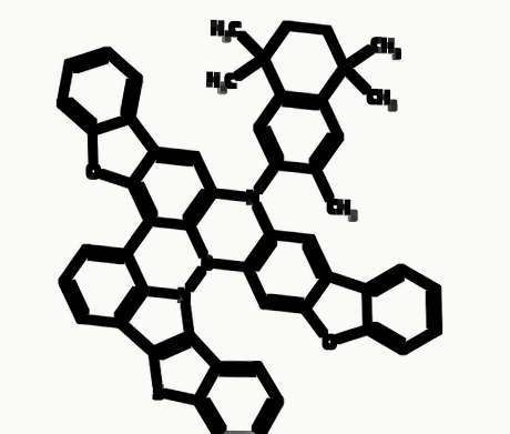 Cc1cc2c(cc1N1c3cc4c(cc3B3c5c1cc1c(oc6ccccc61)c5-c1cccc5c6sc7ccccc7c6n3c15)oc1ccccc14)C(C)(C)CCC2(C)C